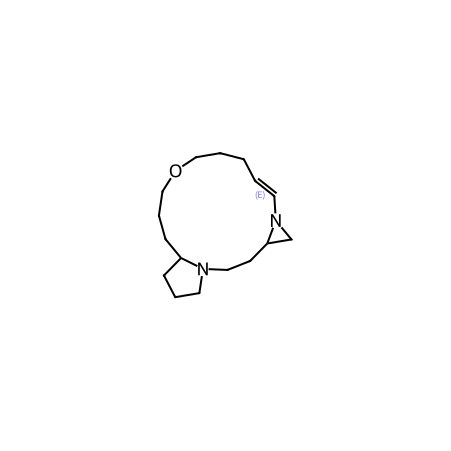 C1=C/N2CC2CCN2CCCC2CCCOCCC/1